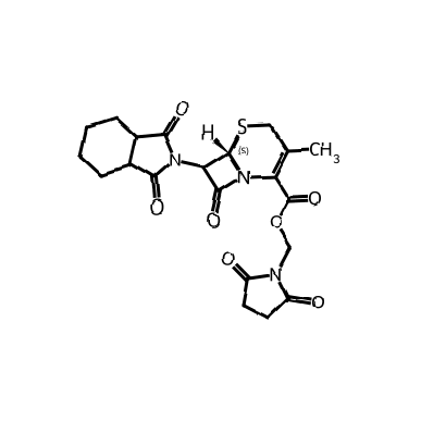 CC1=C(C(=O)OCN2C(=O)CCC2=O)N2C(=O)C(N3C(=O)C4CCCCC4C3=O)[C@@H]2SC1